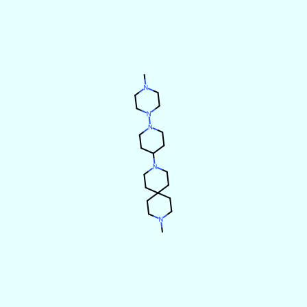 CN1CCN(N2CCC(N3CCC4(CCN(C)CC4)CC3)CC2)CC1